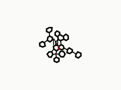 c1ccc(-c2ccc(-c3cccc(-c4c(N(c5cc(-c6ccccc6)cc(-c6ccccc6)c5)c5ccc6c(c5)-c5ccccc5C6(c5ccccc5)c5ccccc5)c5ccccc5c5ccccc45)c3)cc2)cc1